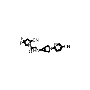 N#Cc1ccc(N2CC3C(C2)C3NCC(=O)N2CC(F)(F)CC2C#N)nc1